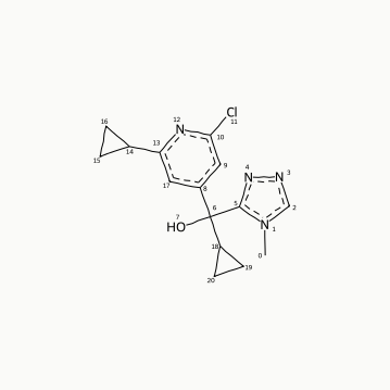 Cn1cnnc1C(O)(c1cc(Cl)nc(C2CC2)c1)C1CC1